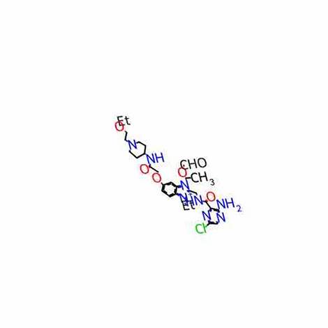 CCOCCN1CCC(NC(=O)COc2ccc3c(c2)n(C(C)OC=O)c(CNC(=O)c2nc(Cl)cnc2N)[n+]3CC)CC1